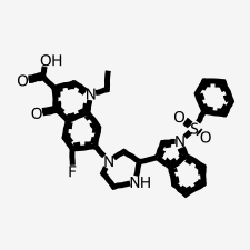 CCn1cc(C(=O)O)c(=O)c2cc(F)c(N3CCNC(c4cn(S(=O)(=O)c5ccccc5)c5ccccc45)C3)cc21